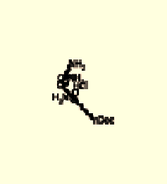 CCCCCCCCCCCCCCCCCCOC(=O)[C@@H](N)CCC(=O)OC(=O)[C@H](N)CCCN.Cl